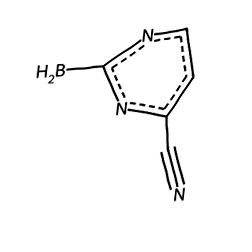 Bc1nccc(C#N)n1